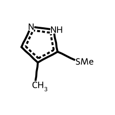 CSc1[nH]ncc1C